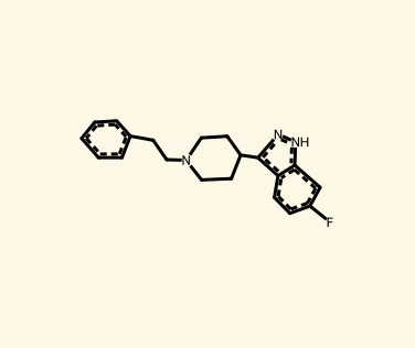 Fc1ccc2c(C3CCN(CCc4ccccc4)CC3)n[nH]c2c1